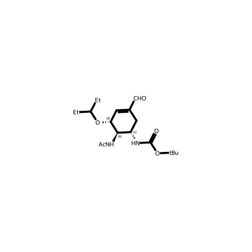 CCC(CC)O[C@@H]1C=C(C=O)C[C@H](NC(=O)OC(C)(C)C)[C@H]1NC(C)=O